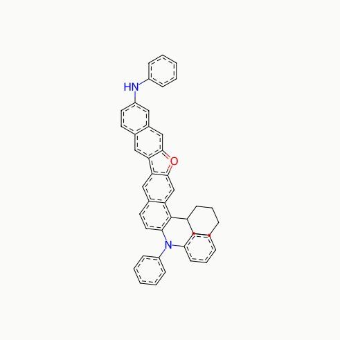 c1ccc(Nc2ccc3cc4c(cc3c2)oc2cc3c(C5CCCCC5)c(N(c5ccccc5)c5ccccc5)ccc3cc24)cc1